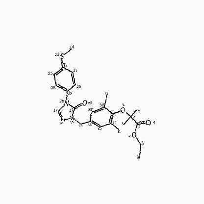 CCOC(=O)C(C)(C)Oc1c(C)cc(Cn2ncn(-c3ccc(SC)cc3)c2=O)cc1C